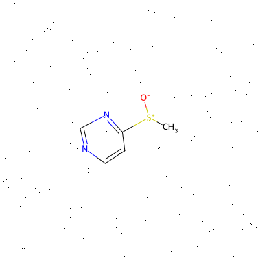 C[S+]([O-])c1ccncn1